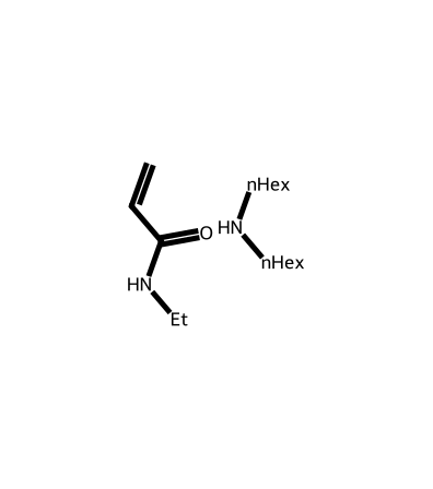 C=CC(=O)NCC.CCCCCCNCCCCCC